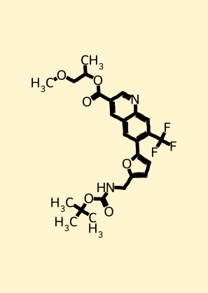 COCC(C)OC(=O)c1cnc2cc(C(F)(F)F)c(-c3ccc(CNC(=O)OC(C)(C)C)o3)cc2c1